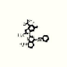 Cc1cc2c(C(N)=O)cc(F)cc2n1-c1nc(NCc2ccccc2)c2c(n1)N(C)CCC2